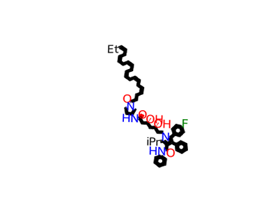 CC/C=C\C/C=C\C/C=C\C/C=C\C/C=C\C/C=C\CCC(=O)N1CC[C@@H](NC(=O)C[C@H](O)C[C@H](O)CCn2c(-c3ccc(F)cc3)c(-c3ccccc3)c(C(=O)Nc3ccccc3)c2C(C)C)C1